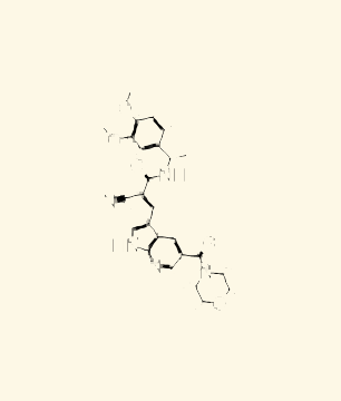 COc1ccc([C@@H](C)NC(=O)/C(C#N)=C/c2c[nH]c3ncc(C(=O)N4CCOCC4)cc23)cc1OC